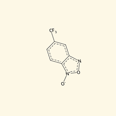 [O-][n+]1onc2cc(C(F)(F)F)ccc21